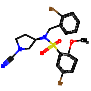 COc1ccc(Br)cc1S(=O)(=O)N(Cc1ccccc1Br)[C@@H]1CCN(C#N)C1